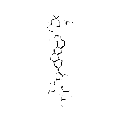 CC[C@H](C)N(C(=O)[C@@H](NC(=O)OC)[C@@H](C)OC)[C@@H](C)c1nc(Cl)c(-c2ccc3c(c2)COc2cc4c(ccc5nc([C@@H]6CC[C@@H]7CC(C)(C)[C@H](NC(=O)OC)C(=O)N76)[nH]c54)cc2-3)[nH]1